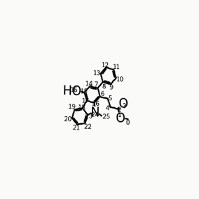 COC(=O)CCc1c(-c2ccccc2)cc(O)c2c3ccccc3n(C)c12